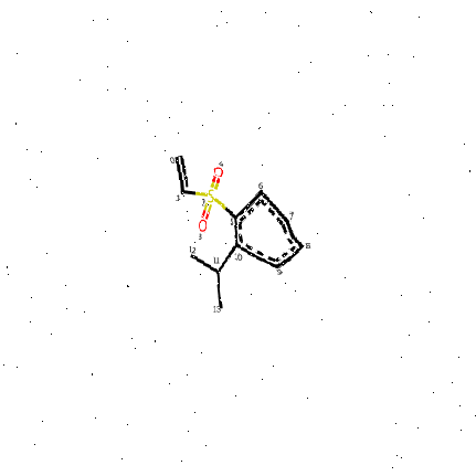 C=CS(=O)(=O)c1ccccc1C(C)C